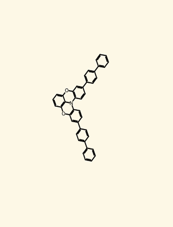 c1ccc(-c2ccc(-c3ccc4c(c3)Oc3cccc5c3N4c3ccc(-c4ccc(-c6ccccc6)cc4)cc3O5)cc2)cc1